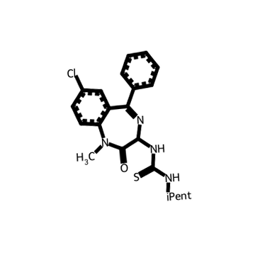 CCCC(C)NC(=S)NC1N=C(c2ccccc2)c2cc(Cl)ccc2N(C)C1=O